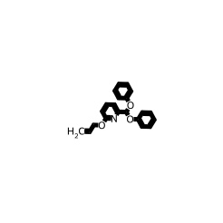 C=CCOc1cccc(C(Oc2ccccc2)Oc2ccccc2)n1